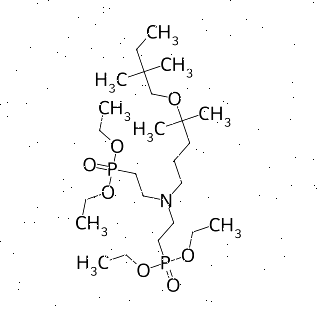 CCOP(=O)(CCN(CCCC(C)(C)OCC(C)(C)CC)CCP(=O)(OCC)OCC)OCC